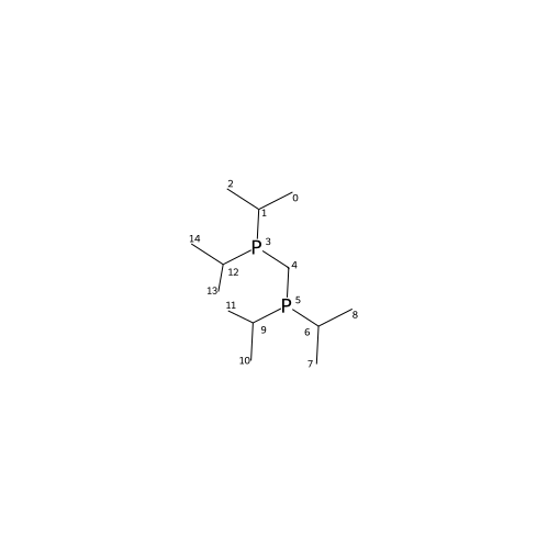 CC(C)P(CP(C(C)C)C(C)C)C(C)C